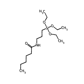 CCCCCC(=O)NCCC[Si](OCC)(OCC)OCC